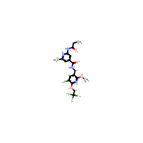 CCC(=O)Nc1cc(C(=O)NCc2cc(F)c(OCC(F)(F)F)nc2OC)cc(C)n1